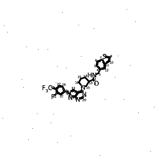 O=C(NCc1ccc2sccc2c1)C1CCCN(c2ncnc3nn(-c4ccc(C(F)(F)F)c(F)c4)cc23)C1